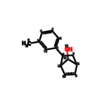 Cc1cccc(C2CC3C=CC2C3O)c1